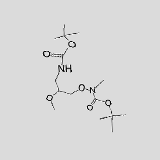 COC(CNC(=O)OC(C)(C)C)CON(C)C(=O)OC(C)(C)C